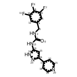 O=C(NCc1cc(F)c(F)c(F)c1)Nc1cc(-c2ccncc2)n[nH]1